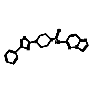 O=C(Nc1ccc2nccn2n1)N1CCN(c2nc(-c3ccccc3)ns2)CC1